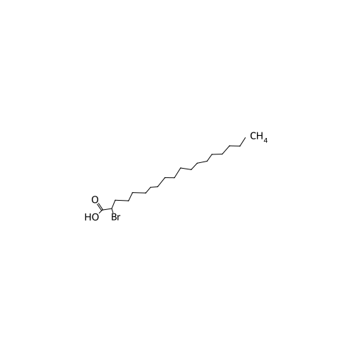 C.CCCCCCCCCCCCCCCCCC(Br)C(=O)O